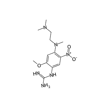 COc1cc(N(C)CCN(C)C)c([N+](=O)[O-])cc1NC(=N)N